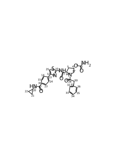 NC(=O)O[C@H]1C[C@H](C(=O)Nc2nc(-c3ccc(C(=O)NC4CC4)cc3)cs2)N(C(=O)[CH]c2ccccc2)C1